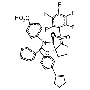 O=C(O)c1ccc(N(Cc2ccc(C3=CCCC3)cc2)C(=O)[C@]2(OCc3ccccc3)CCCN2S(=O)(=O)c2c(F)c(F)c(F)c(F)c2F)cc1